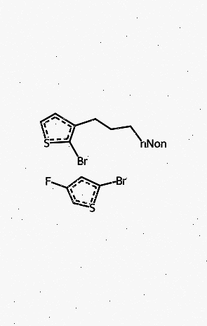 CCCCCCCCCCCCc1ccsc1Br.Fc1csc(Br)c1